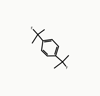 CC(C)(F)c1ccc(C(C)(C)F)cc1